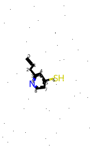 C=CCc1cc(S)ccn1